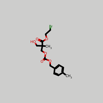 Cc1ccc(COC(=O)OCC(C)(CO)C(=O)OCCBr)cc1